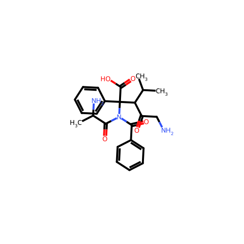 CC(N)C(=O)N(C(=O)c1ccccc1)C(C(=O)O)(c1ccccc1)C(C(=O)CN)C(C)C